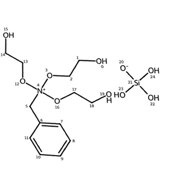 OCCO[N+](Cc1ccccc1)(OCCO)OCCO.[O-][Si](O)(O)O